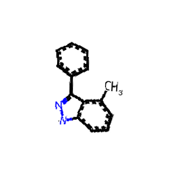 Cc1cccc2c1C(c1ccccc1)=N[N]2